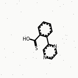 OC(=S)c1ccccc1-c1cnccn1